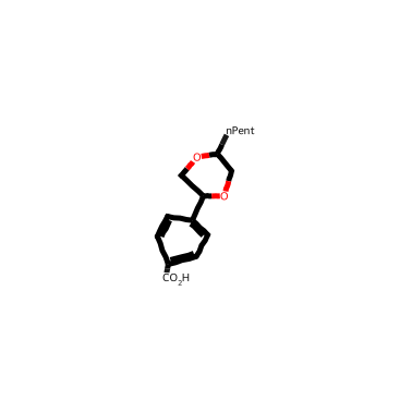 CCCCCC1COC(c2ccc(C(=O)O)cc2)CO1